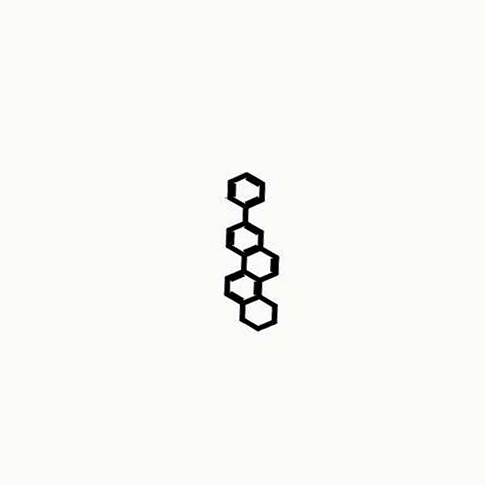 [c]1ccccc1-c1ccc2c(ccc3c4c(ccc32)CCCC4)c1